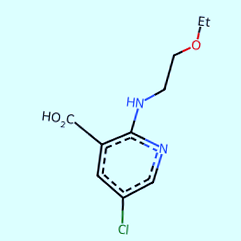 CCOCCNc1ncc(Cl)cc1C(=O)O